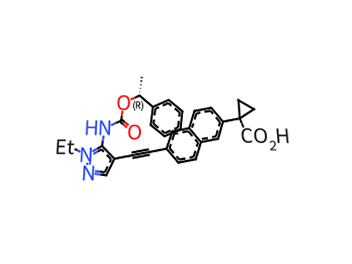 CCn1ncc(C#Cc2ccc3cc(C4(C(=O)O)CC4)ccc3c2)c1NC(=O)O[C@H](C)c1ccccc1